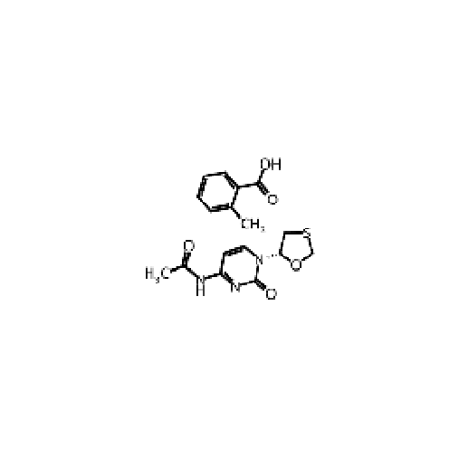 CC(=O)Nc1ccn([C@@H]2CSCO2)c(=O)n1.Cc1ccccc1C(=O)O